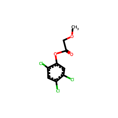 COCC(=O)Oc1cc(Cl)c(Cl)cc1Cl